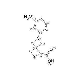 Nc1cccc(N2CC3(CCN3C(=O)O)C2)n1